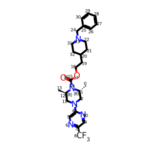 C[C@@H]1CN(c2cnc(C(F)(F)F)cn2)C[C@@H](C)N1C(=O)OCCC1CCN(Cc2ccccc2)CC1